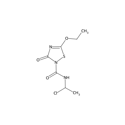 CCOc1nc(=O)n(C(=O)NC(C)Cl)s1